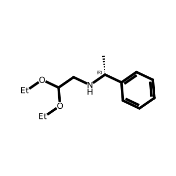 CCOC(CN[C@H](C)c1ccccc1)OCC